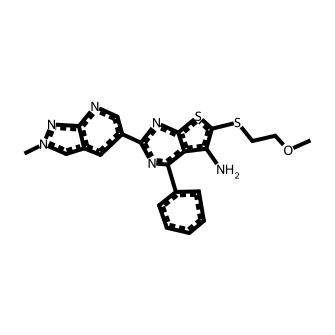 COCCSc1sc2nc(-c3cnc4nn(C)cc4c3)nc(-c3ccccc3)c2c1N